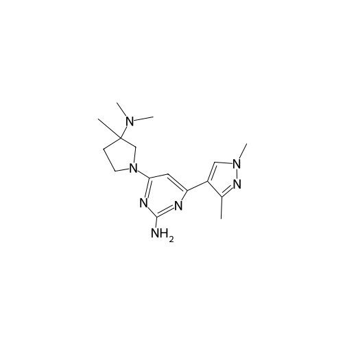 Cc1nn(C)cc1-c1cc(N2CCC(C)(N(C)C)C2)nc(N)n1